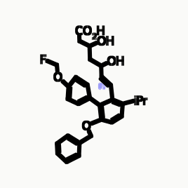 CC(C)c1ccc(OCc2ccccc2)c(-c2ccc(OCF)cc2)c1/C=C/C(O)CC(O)CC(=O)O